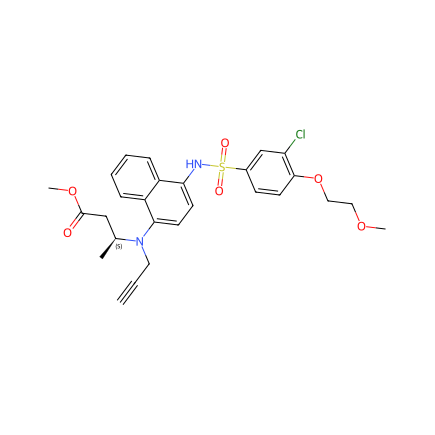 C#CCN(c1ccc(NS(=O)(=O)c2ccc(OCCOC)c(Cl)c2)c2ccccc12)[C@@H](C)CC(=O)OC